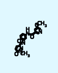 COc1cncc(C2OC2Nc2ccc3oc(-c4ccc(=O)n(C)n4)nc3c2)c1